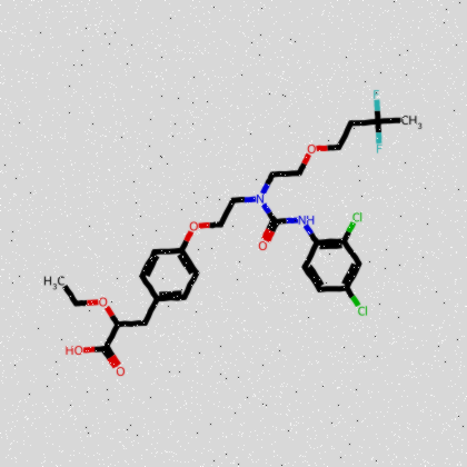 CCOC(Cc1ccc(OCCN(CCOCCC(C)(F)F)C(=O)Nc2ccc(Cl)cc2Cl)cc1)C(=O)O